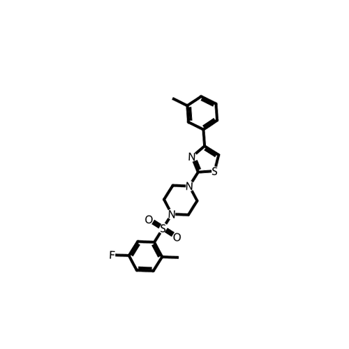 Cc1cccc(-c2csc(N3CCN(S(=O)(=O)c4cc(F)ccc4C)CC3)n2)c1